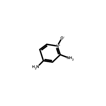 Nc1cc[n+]([O-])c(N)c1